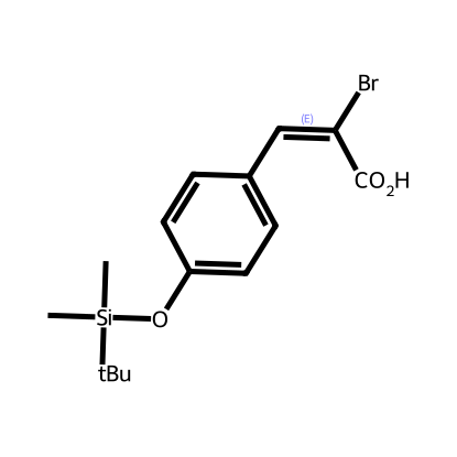 CC(C)(C)[Si](C)(C)Oc1ccc(/C=C(/Br)C(=O)O)cc1